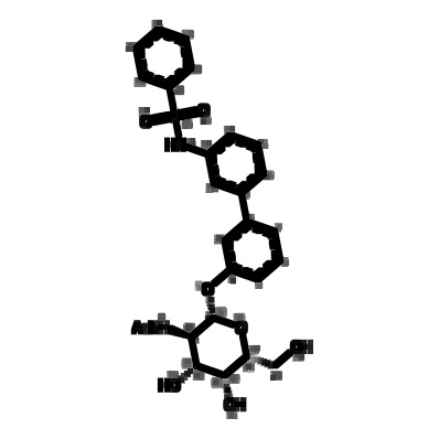 CC(=O)N[C@H]1[C@H](Oc2cccc(-c3cccc(NS(=O)(=O)c4ccccc4)c3)c2)O[C@H](CO)[C@H](O)[C@@H]1O